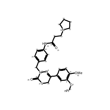 CCCOc1cc(C2=NN(Cc3ccc(NC(=O)CCN4CCCC4)cc3)C(=O)SC2)ccc1OC